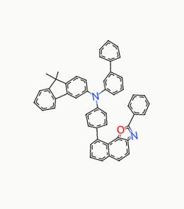 CC1(C)c2ccccc2-c2cc(N(c3ccc(-c4cccc5ccc6nc(-c7ccccc7)oc6c45)cc3)c3cccc(-c4ccccc4)c3)ccc21